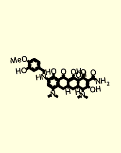 COc1ccc(CNc2cc(N(C)C)c3c(c2O)C(=O)C2=C(O)[C@@]4(O)C(=O)C(C(N)=O)=C(O)C(N(C)C)[C@H]4C[C@H]2C3)cc1O